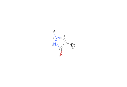 CCc1cn(C)nc1Br